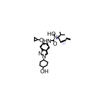 C=C/C=C\C(C(C)C)=[N+](\O)C(=O)Nc1cc2cn(C3CCC(O)CC3)nc2cc1OC1CC1